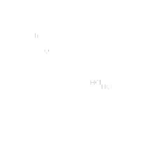 Cl.Cl.[Ti][O]c1ccccc1-c1ccccc1